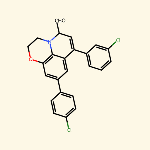 O=CC1C=C(c2cccc(Cl)c2)c2cc(-c3ccc(Cl)cc3)cc3c2N1CCO3